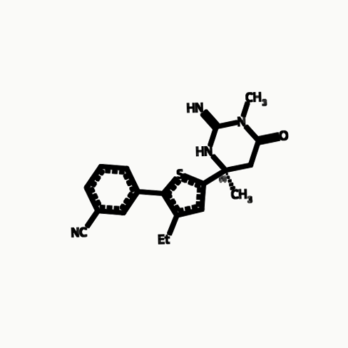 CCc1cc([C@]2(C)CC(=O)N(C)C(=N)N2)sc1-c1cccc(C#N)c1